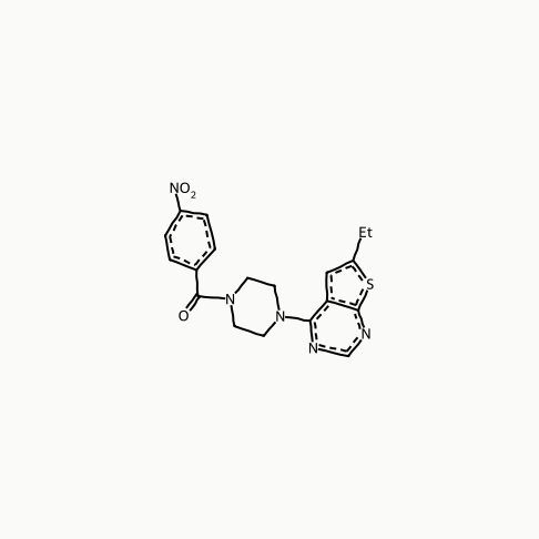 CCc1cc2c(N3CCN(C(=O)c4ccc([N+](=O)[O-])cc4)CC3)ncnc2s1